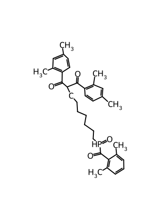 Cc1ccc(C(=O)C(CCCCCCC[PH](=O)C(=O)c2c(C)cccc2C)C(=O)c2ccc(C)cc2C)c(C)c1